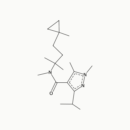 Cc1c(C(=O)N(C)C(C)(C)CCC2(C)CC2)c(C(C)C)nn1C